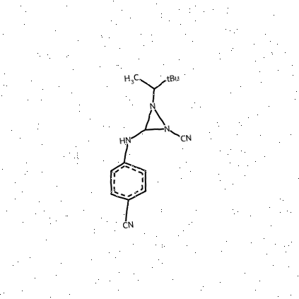 CC(N1C(Nc2ccc(C#N)cc2)N1C#N)C(C)(C)C